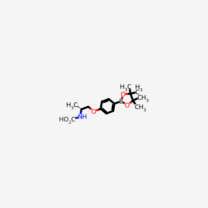 C[C@H](COc1ccc(B2OC(C)(C)C(C)(C)O2)cc1)NC(=O)O